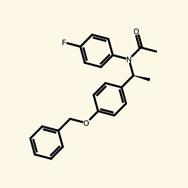 CC(=O)N(c1ccc(F)cc1)[C@@H](C)c1ccc(OCc2ccccc2)cc1